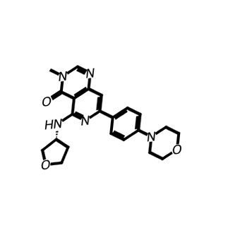 Cn1cnc2cc(-c3ccc(N4CCOCC4)cc3)nc(N[C@@H]3CCOC3)c2c1=O